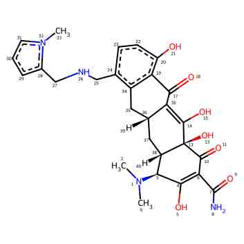 CN(C)[C@@H]1C(O)=C(C(N)=O)C(=O)[C@@]2(O)C(O)=C3C(=O)c4c(O)ccc(CNCc5cccn5C)c4C[C@H]3C[C@@H]12